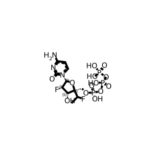 CC(F)[C@]1(COP(=O)(O)OP(=O)(O)OP(=O)(O)O)O[C@@H](n2ccc(N)nc2=O)[C@@H](F)[C@H]1O